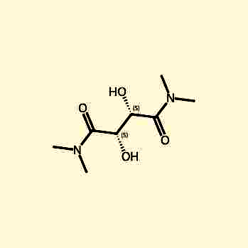 CN(C)C(=O)[C@@H](O)[C@H](O)C(=O)N(C)C